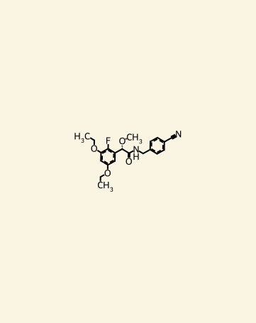 CCOc1cc(OCC)c(F)c([C@H](OC)C(=O)NCc2ccc(C#N)cc2)c1